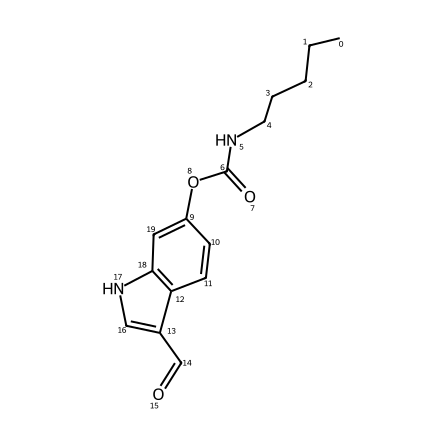 CCCCCNC(=O)Oc1ccc2c(C=O)c[nH]c2c1